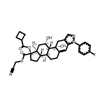 C[C@]12Cc3cnn(-c4ccc(F)cc4)c3C=C1CC[C@@H]1[C@@H]2[C@@H](O)C[C@@]2(C)[C@H]1CC[C@]2(OC(=O)C1CCC1)C(=O)SCC#N